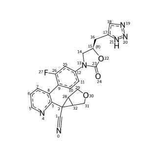 N#CC1(c2ncccc2-c2ccc(N3C[C@@H](Cc4cnn[nH]4)OC3=O)cc2F)C2COCC21